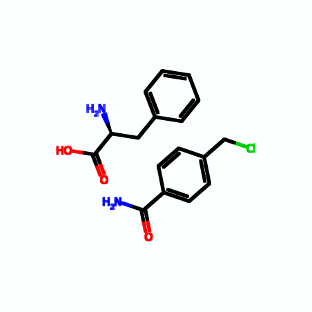 NC(=O)c1ccc(CCl)cc1.N[C@@H](Cc1ccccc1)C(=O)O